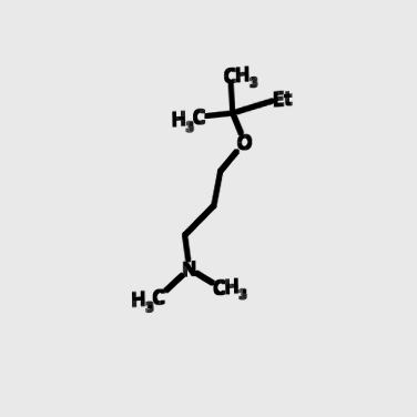 CCC(C)(C)OCCCN(C)C